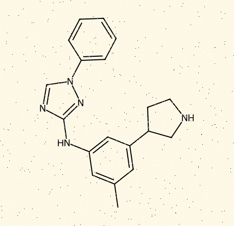 Cc1cc(Nc2ncn(-c3ccccc3)n2)cc(C2CCNC2)c1